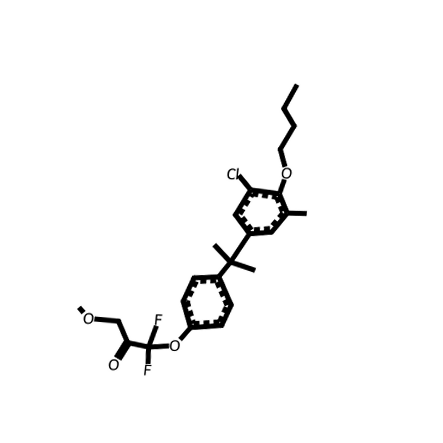 CCCCOc1c(C)cc(C(C)(C)c2ccc(OC(F)(F)C(=O)COC)cc2)cc1Cl